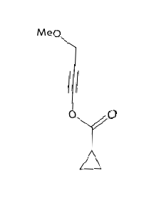 COCC#COC(=O)C1CC1